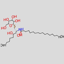 CCCCCCCCCCCCCCCCCCCCCCCCCC(=O)N[C@@H](CSC1OC(CO)C(O)C(O)C1O)[C@H](O)[C@H](O)CCCCCCCCCCCCCC